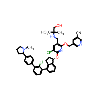 CN1CCCC1c1ccc(-c2cccc(-c3cccc4c3CC[C@@H]4Oc3nc(OCc4cncc(C#N)c4)c(CNC(C)(CO)C(=O)O)cc3Cl)c2Cl)cc1